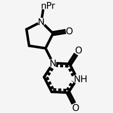 CCCN1CCC(n2ccc(=O)[nH]c2=O)C1=O